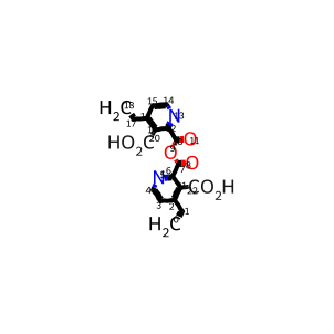 C=Cc1ccnc(C(=O)OC(=O)c2nccc(C=C)c2C(=O)O)c1C(=O)O